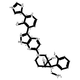 NC[C@]1(c2ccccc2F)[C@@H]2CCN(c3cnc4c(-c5ccnc(-c6cnco6)c5Cl)n[nH]c4n3)C[C@@H]21